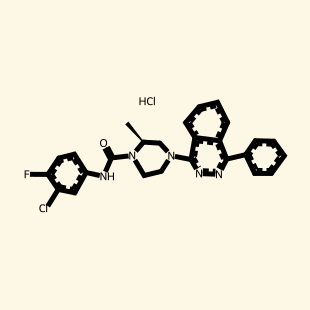 C[C@H]1CN(c2nnc(-c3ccccc3)c3ccccc23)CCN1C(=O)Nc1ccc(F)c(Cl)c1.Cl